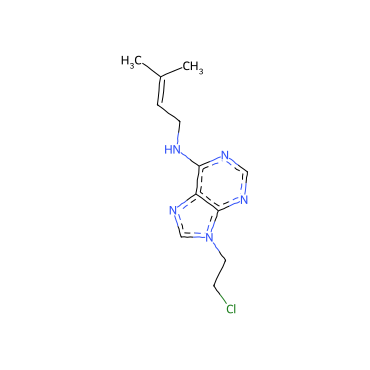 CC(C)=CCNc1ncnc2c1ncn2CCCl